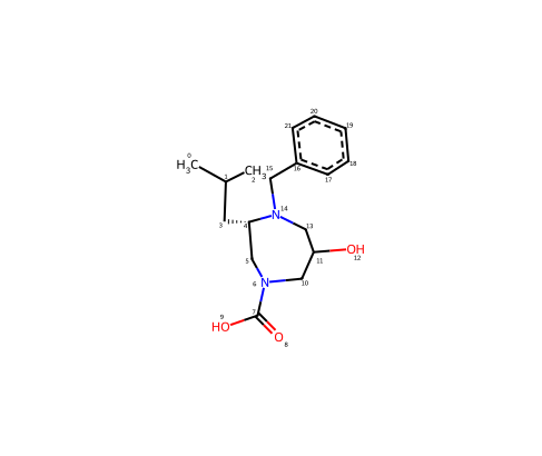 CC(C)C[C@H]1CN(C(=O)O)CC(O)CN1Cc1ccccc1